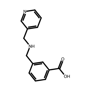 O=C(O)c1cccc(CNCc2cccnc2)c1